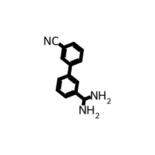 N#Cc1cccc(-c2cccc(C(N)N)c2)c1